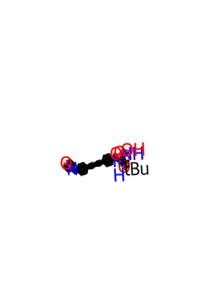 C[C@@H](OC(C)(C)C)[C@H](NC(=O)c1ccc(C#CC#Cc2ccc(CN3CCOCC3)cc2)cc1)C(=O)NO